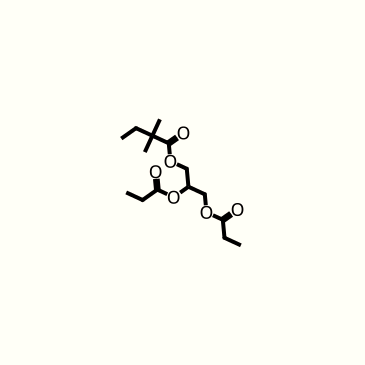 CCC(=O)OCC(COC(=O)C(C)(C)CC)OC(=O)CC